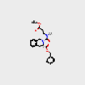 CCCCOC(=O)CCN(CC)C(=O)N1Cc2ccccc2C[C@H]1C(=O)OCc1ccccc1